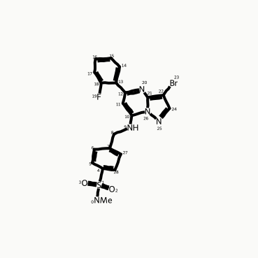 CNS(=O)(=O)c1ccc(CNc2cc(-c3ccccc3F)nc3c(Br)cnn23)cc1